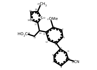 COc1ccc(-c2cccc(C#N)c2)cc1C(CC(=O)O)c1ncc(C)s1